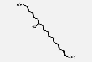 CCCCCCCCC=CCCCCCCCCC(O)CCCCCCCCCCCCCCC